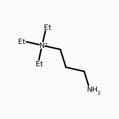 CC[N+](CC)(CC)CCCN